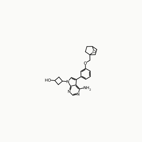 Nc1ncnc2c1c(-c1cccc(OCC34CCC(CC3)O4)c1)cn2C1CC(O)C1